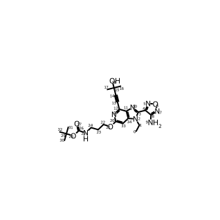 CCn1c(-c2nonc2N)nc2c(C#CC(C)(C)O)nc(OCCCNC(=O)OC(C)(C)C)cc21